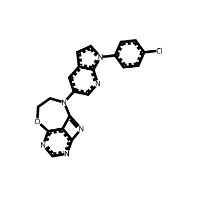 Clc1ccc(-n2ccc3cc(N4CCOc5ncnc6c5C4=N6)cnc32)cc1